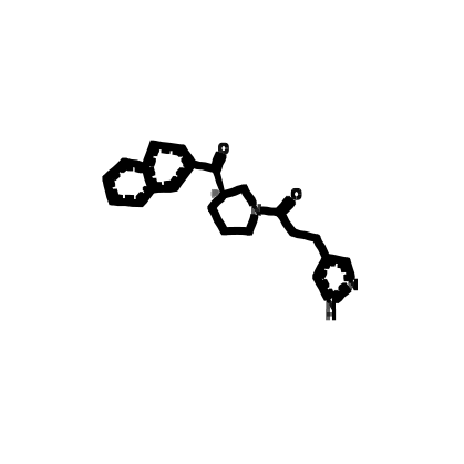 O=C(c1ccc2ccccc2c1)[C@@H]1CCCN(C(=O)CCc2cn[nH]c2)C1